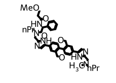 CCCN(C)Cc1ncc(-c2cc3c4c(c2)OCc2cc(-c5cnc(CN(CCC)C(=O)[C@H](NC(=O)CCOC)c6ccccc6)[nH]5)cc(c2-4)OC3)[nH]1